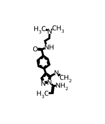 C=Nc1c(-c2ccc(C(=O)NCCN(C)C)cc2)cnn1/C(N)=C\C